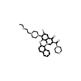 CCOCCN1CCN(c2c(F)cc3c(=O)c(C(=O)N4CCOCC4)cn4c3c2Oc2ccc3ccccc3c2-4)CC1